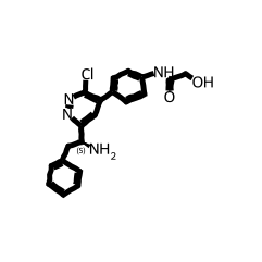 N[C@@H](Cc1ccccc1)c1cc(-c2ccc(NC(=O)CO)cc2)c(Cl)nn1